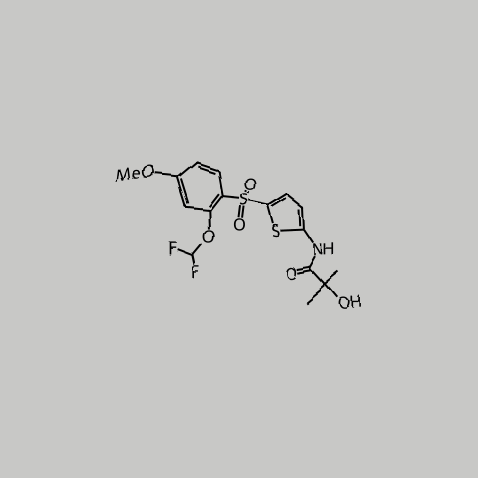 COc1ccc(S(=O)(=O)c2ccc(NC(=O)C(C)(C)O)s2)c(OC(F)F)c1